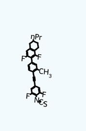 CCCC1CCc2c(cc(F)c(-c3ccc(C#Cc4cc(F)c(N=C=S)c(F)c4)c(C)c3)c2F)C1